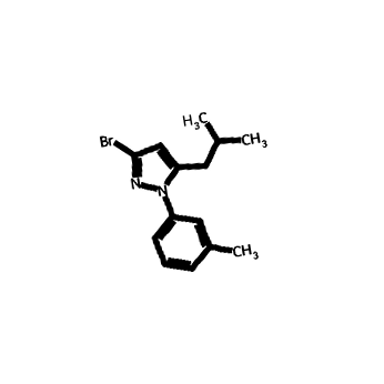 Cc1cccc(-n2nc(Br)cc2CC(C)C)c1